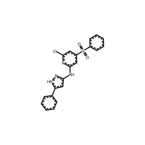 O=S(=O)(c1ccccc1)c1cc(Cl)nc(Nc2cc(-c3ccccc3)[nH]n2)c1